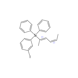 C/C=C\C=C(/C)[Si](c1ccccc1)(c1ccccc1)c1cccc(I)c1